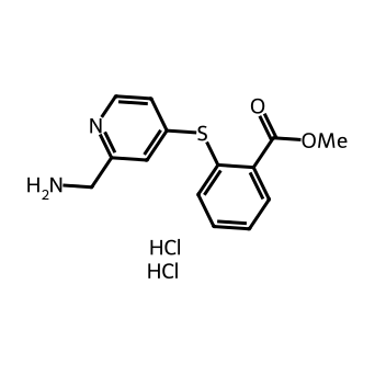 COC(=O)c1ccccc1Sc1ccnc(CN)c1.Cl.Cl